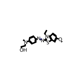 CC[n+]1c(/N=N/c2ccc(N(C)CCO)cc2)sc2cc(OC)ccc21